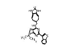 CC(C)n1cnc2c(NCC3=CC=c4[nH]c(=O)[nH]c4=CC3)nc(-c3csc4ccccc34)nc21